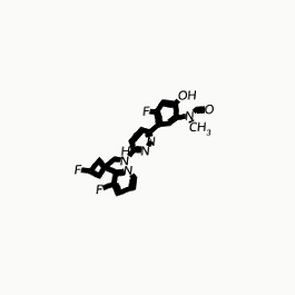 CN(C=O)c1cc(-c2ccc(NCC3(c4ncccc4F)CC(F)C3)nn2)c(F)cc1O